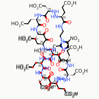 Cc1ncc([N+](=O)[O-])n1CCNC(=O)[C@H](CCC(=O)O)NN[C@@H](CC(=O)O)C(=O)N[C@@H](CCC(=O)O)C(=O)N[C@@H](CC(=O)O)C(=O)C(=O)[C@H](CCC(=O)O)NN[C@@H](CC(=O)O)C(=O)N[C@@H](CCC(=O)O)C(=O)N[C@@H](CC(=O)O)C(=O)C(=O)[C@H](CCC(=O)O)NN[C@@H](CC(=O)O)C(=O)N[C@@H](CCC(=O)O)C(=O)C(=O)[C@H](CC(=O)O)NC(=O)[C@H](CCC(=O)O)NN[C@@H](CC(=O)O)C(=O)C(=O)[C@@H](N)CCC(=O)O